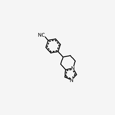 N#Cc1ccc(C2CCn3cncc3C2)cc1